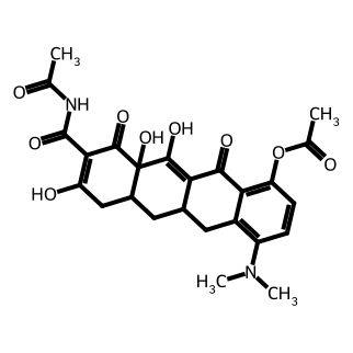 CC(=O)NC(=O)C1=C(O)CC2CC3Cc4c(N(C)C)ccc(OC(C)=O)c4C(=O)C3=C(O)C2(O)C1=O